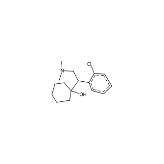 CN(C)CC(c1ccccc1Cl)C1(O)CCCCC1